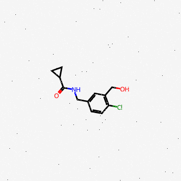 O=C(NCc1ccc(Cl)c(CO)c1)C1CC1